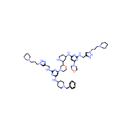 c1ccc(CN2CCC(Nc3cc(N4CCOC(C5CC(Nc6cc(N7CCOCC7)nc(NCc7cn(CCCN8CCCCC8)nn7)n6)CCN5)C4)nc(NCc4cn(CCCN5CCCCC5)nn4)n3)CC2)cc1